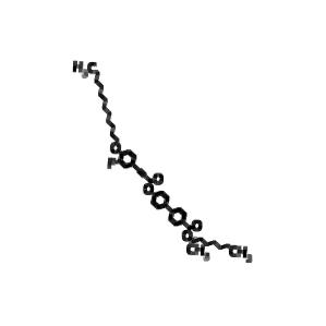 CCCCCCCCCCCCOc1ccc(C#CC(=O)Oc2ccc(-c3ccc(C(=O)O[C@@H](C)CCCCCC)cc3)cc2)cc1F